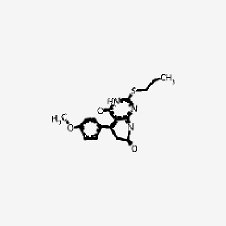 CCCSc1nc2c(c(=O)[nH]1)=C(c1ccc(OC)cc1)CC(=O)N=2